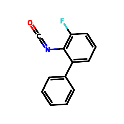 O=C=Nc1c(F)cccc1-c1ccccc1